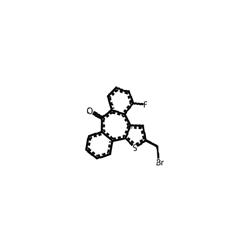 O=c1c2ccccc2c2sc(CBr)cc2c2c(F)cccc12